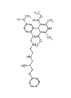 COC(=O)C1=C(C)NC(C)=C(C(=O)OC)C1c1cc([S+](C)[O-])ccc1OCCCCNCC(O)COc1ccccc1